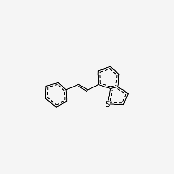 C(=Cc1cccc2ccsc12)c1ccccc1